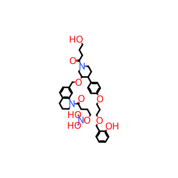 O=C(CCCO)N1CCC(c2ccc(OCCCOCc3ccccc3O)cc2)C(OCc2ccc3c(c2)N(C(=O)CCCON(O)O)CCC3)C1